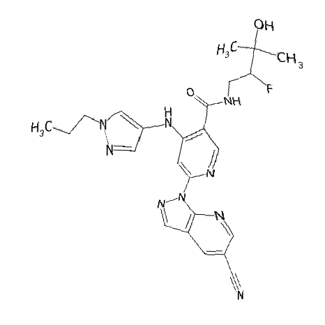 CCCn1cc(Nc2cc(-n3ncc4cc(C#N)cnc43)ncc2C(=O)NCC(F)C(C)(C)O)cn1